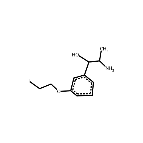 CC(N)C(O)c1cccc(OCCI)c1